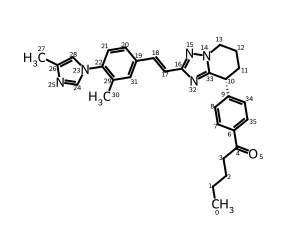 CCCCC(=O)c1ccc([C@H]2CCCn3nc(/C=C/c4ccc(-n5cnc(C)c5)c(C)c4)nc32)cc1